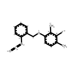 Cc1ccc(OCc2ccccc2N=C=O)c(C)c1F